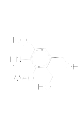 COc1c(N)c(C(=O)O)cc(CO)c1CO